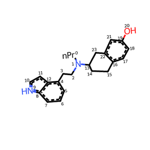 CCCN(CCc1cccc2[nH]ccc12)C1CCc2ccc(O)cc2C1